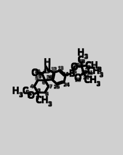 COC1(C)CCC2(CC1)C(=O)Nc1cc(B3OC(C)(C)C(C)(C)O3)ccc12